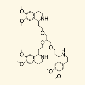 COc1cc2c(cc1OC)C(CCOCC(COCCC1NCCc3cc(OC)c(OC)cc31)OCCC1NCCc3cc(OC)c(OC)cc31)NCC2